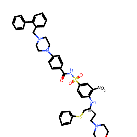 O=C(NS(=O)(=O)c1ccc(N[C@@H](CCN2CCOCC2)CSc2ccccc2)c([N+](=O)[O-])c1)c1ccc(N2CCN(Cc3ccccc3-c3ccccc3)CC2)cc1